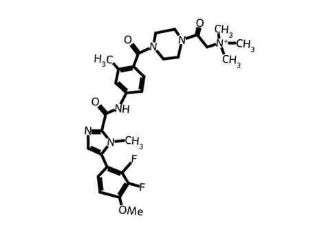 COc1ccc(-c2cnc(C(=O)Nc3ccc(C(=O)N4CCN(C(=O)C[N+](C)(C)C)CC4)c(C)c3)n2C)c(F)c1F